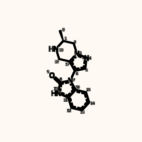 C[C@H]1Cn2ncc(-n3c(=O)[nH]c4ccccc43)c2CN1